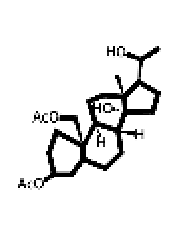 CC(=O)OC[C@]12CCC(OC(C)=O)CC1CC[C@@H]1[C@@H]2CC[C@]2(C)[C@@H](C(C)O)CC[C@@]12O